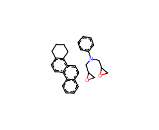 c1ccc(N(CC2CO2)CC2CO2)cc1.c1ccc2c(c1)ccc1c3c(ccc12)CCCC3